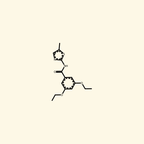 CCOc1cc(OCC)cc(C(=O)Nc2ncc(C)s2)c1